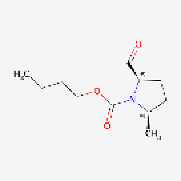 CCCCOC(=O)N1[C@H](C)CC[C@@H]1C=O